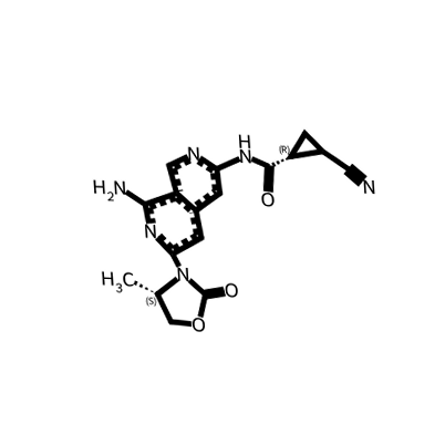 C[C@H]1COC(=O)N1c1cc2cc(NC(=O)[C@@H]3CC3C#N)ncc2c(N)n1